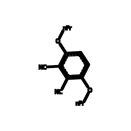 CCCOc1ccc(OCCC)c(C#N)c1C#N